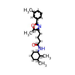 Cc1cccc(-c2nc(CCCC(=O)NC3CCCC(C)C3C)c(C)o2)c1